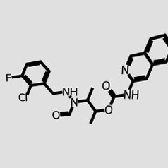 CC(OC(=O)Nc1cc2ccccc2cn1)C(C)N(C=O)NCc1cccc(F)c1Cl